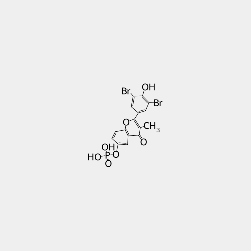 Cc1c(-c2cc(Br)c(O)c(Br)c2)oc2ccc(OP(=O)(O)O)cc2c1=O